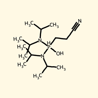 CC(C)N(C(C)C)[PH](O)(CCC#N)N(C(C)C)C(C)C